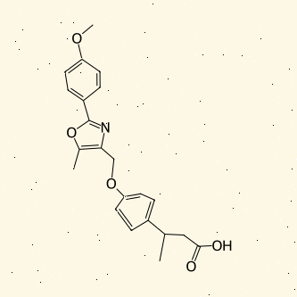 COc1ccc(-c2nc(COc3ccc(C(C)CC(=O)O)cc3)c(C)o2)cc1